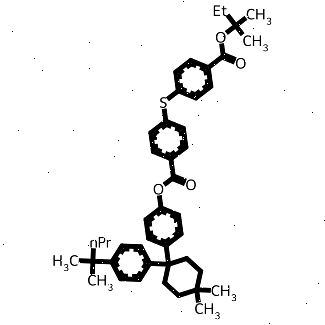 CCCC(C)(C)c1ccc(C2(c3ccc(OC(=O)c4ccc(Sc5ccc(C(=O)OC(C)(C)CC)cc5)cc4)cc3)CCC(C)(C)CC2)cc1